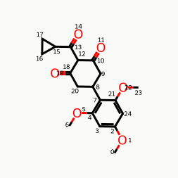 COc1cc(OC)c(C2CC(=O)C(C(=O)C3CC3)C(=O)C2)c(OC)c1